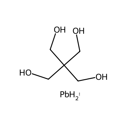 OCC(CO)(CO)CO.[PbH2]